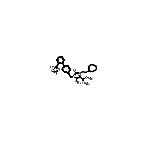 CCCCc1c(C(OC)OC)n(CCC2CCCCC2)c(=O)n1Cc1ccc(-c2ccccc2-c2nnn[nH]2)cc1